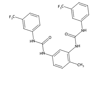 Cc1ccc(NC(=O)Nc2cccc(C(F)(F)F)c2)cc1NC(=O)Nc1cccc(C(F)(F)F)c1